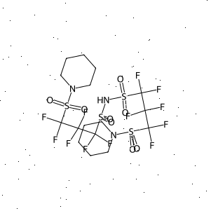 O=S(=O)(NS(=O)(=O)C(F)(F)C(F)(F)C(F)(F)S(=O)(=O)N1CCCCC1)C(F)(F)C(F)(F)C(F)(F)S(=O)(=O)N1CCCCC1